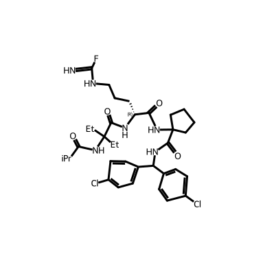 CCC(CC)(NC(=O)C(C)C)C(=O)N[C@H](CCCNC(=N)F)C(=O)NC1(C(=O)NC(c2ccc(Cl)cc2)c2ccc(Cl)cc2)CCCC1